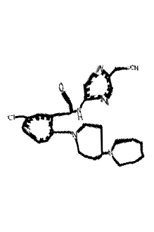 N#Cc1cnc(NC(=O)c2cc(Cl)ccc2N2CCC(N3CCCCC3)CC2)cn1